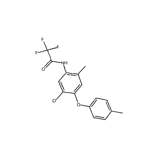 Cc1ccc(Oc2cc(C)c(NC(=O)C(F)(F)F)cc2Cl)cc1